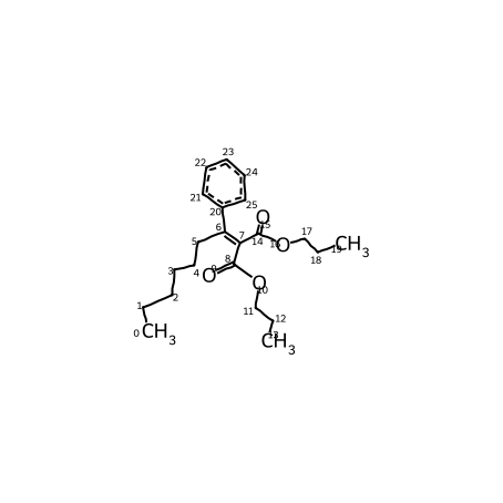 CCCCCCC(=C(C(=O)OCCC)C(=O)OCCC)c1ccccc1